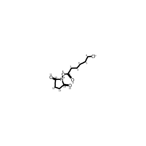 O=C(CCCCCCl)ON1C(=O)CCC1=O